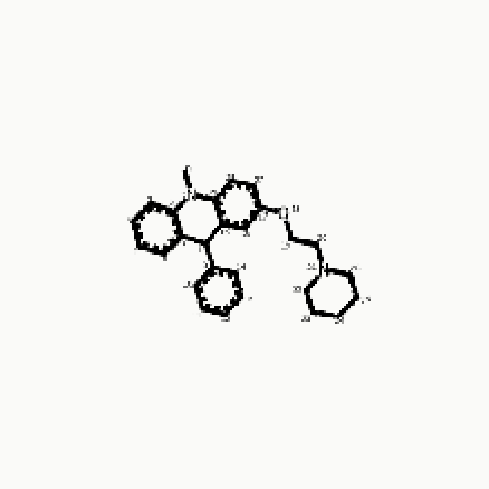 CN1c2ccccc2C(c2ccccc2)c2cc(OCCN3CCCCC3)ccc21